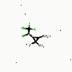 CC1(C)C(C(=O)O)C1C(Cl)C(F)(Cl)Br